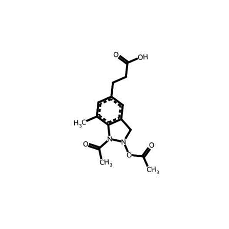 CC(=O)ON1Cc2cc(CCC(=O)O)cc(C)c2N1C(C)=O